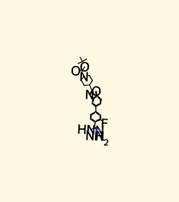 C=N/N=C(\NN)c1ccc(-c2ccc3oc(C4CCN(C(=O)OC(C)(C)C)CC4)nc3c2)cc1F